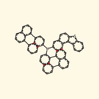 c1ccc(-c2cccc3cccc(-c4ccc(N(c5ccc6c(ccc7sc8ccccc8c76)c5)c5ccccc5-c5cccc6cccc(-c7ccccc7)c56)cc4)c23)cc1